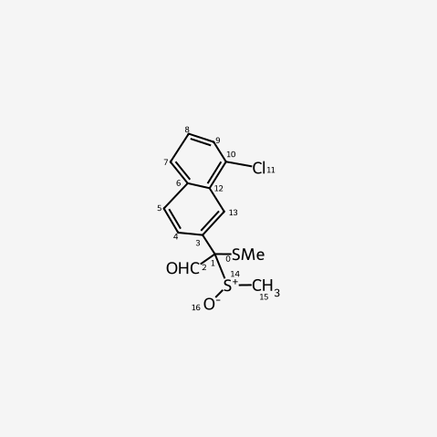 CSC(C=O)(c1ccc2cccc(Cl)c2c1)[S+](C)[O-]